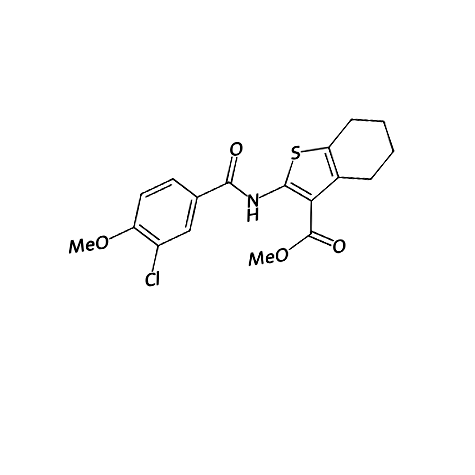 COC(=O)c1c(NC(=O)c2ccc(OC)c(Cl)c2)sc2c1CCCC2